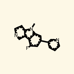 Cn1c2ccncc2c2c(F)cc(-c3cccnc3)cc21